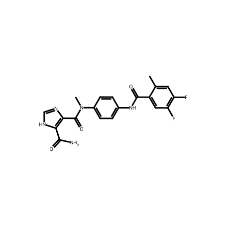 Cc1cc(F)c(F)cc1C(=O)Nc1ccc(N(C)C(=O)c2nc[nH]c2C(N)=O)cc1